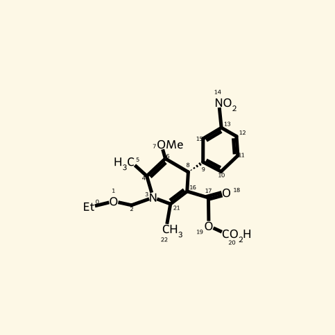 CCOCN1C(C)=C(OC)[C@H](c2cccc([N+](=O)[O-])c2)C(C(=O)OC(=O)O)=C1C